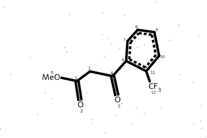 COC(=O)CC(=O)c1ccccc1C(F)(F)F